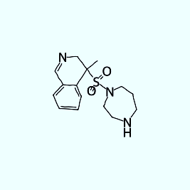 CC1(S(=O)(=O)N2CCCNCC2)CN=Cc2ccccc21